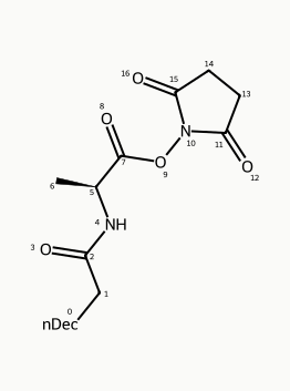 CCCCCCCCCCCC(=O)N[C@@H](C)C(=O)ON1C(=O)CCC1=O